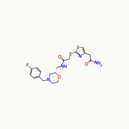 NC(=O)Cc1csc(SCC(=O)NC[C@H]2CN(Cc3ccc(F)cc3)CCO2)n1